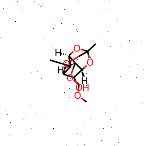 COCO[C@@H]1[C@@H]2OC3(C)OC(C2C)C(O)[C@H]1O3